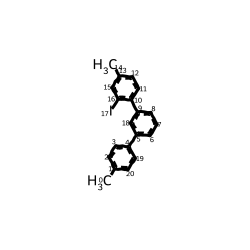 Cc1ccc(-c2cccc(-c3ccc(C)cc3I)c2)cc1